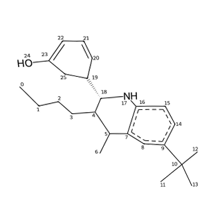 CCCCC1C(C)c2cc(C(C)(C)C)ccc2N[C@H]1C1C=CC=C(O)C1